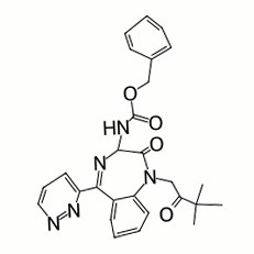 CC(C)(C)C(=O)CN1C(=O)C(NC(=O)OCc2ccccc2)N=C(c2cccnn2)c2ccccc21